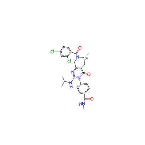 CNC(=O)c1ccc(-n2c(NC(C)C)nc3c(c2=O)C[C@@H](C)N(C(=O)c2ccc(Cl)cc2Cl)C3)cc1